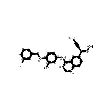 CC#C/C(=N\O)c1ccc2ncnc(Nc3ccc(OCc4cccc(F)c4)c(Cl)c3)c2c1